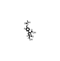 CNC(=O)OCc1ccc(C2=C(C(=O)O)N3C(=O)[C@H]([C@@H](C)O)[C@H]3C2)cc1F